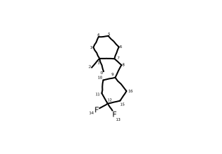 CC1(C)CCCCC1CC1CCC(F)(F)CC1